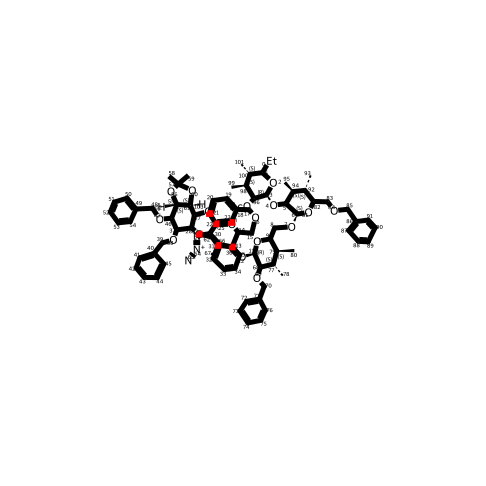 CCC1O[C@H](OC2[C@@H](OCC3O[C@H](O[C@@H]4C(COCc5ccccc5)O[C@H](OC5C(OCc6ccccc6)C(OCc6ccccc6)C(OCc6ccccc6)[C@@H]6OC(C)(C)O[C@@H]56)C(N=[N+]=[N-])[C@H]4C)C(OCc4ccccc4)[C@@H](C)[C@@H]3C)OC(COCc3ccccc3)[C@@H](C)[C@@H]2C)C(OC(C)=O)[C@@H](C)[C@@H]1C